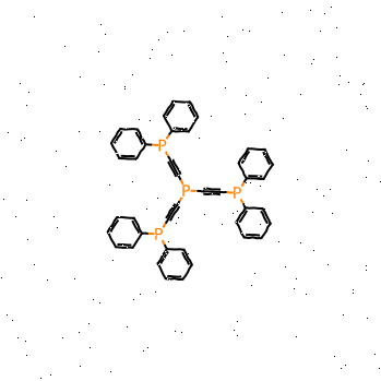 C(#CP(c1ccccc1)c1ccccc1)P(C#CP(c1ccccc1)c1ccccc1)C#CP(c1ccccc1)c1ccccc1